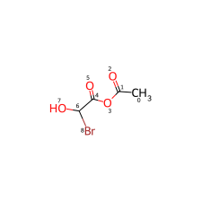 CC(=O)OC(=O)C(O)Br